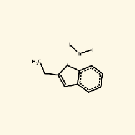 CCC1=Cc2ccccc2[CH]1.[I][Ti][I]